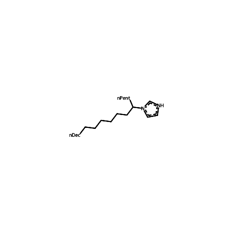 CCCCCCCCCCCCCCCCC(CCCCC)[n+]1cc[nH]c1